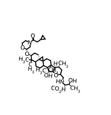 C[C@H](O)[C@@H](NCC1C[C@@H](C)[C@H]2C(O1)[C@H](O)[C@@]1(C)C3CCC4C(C)(C)[C@@H](O[C@H]5CN(C(=O)CC6CC6)CCO5)CC[C@@]45CC35CC[C@]21C)C(=O)O